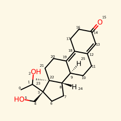 CC(O)[C@@]1(CO)CC[C@H]2[C@@H]3CCC4=CC(=O)CCC4=C3CC[C@@]21C